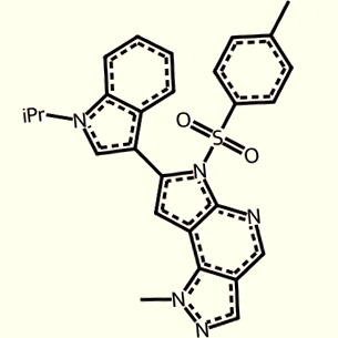 Cc1ccc(S(=O)(=O)n2c(-c3cn(C(C)C)c4ccccc34)cc3c4c(cnc32)cnn4C)cc1